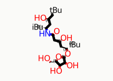 CC[C@@H](C)C(C[C@H](O)CC(C)(C)C)NC(=O)C[C@@H](O)C[C@H](O[C@@H]1O[C@@H](CO)C(O)C1O)[C@H](C)CC